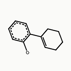 [O]c1ccccc1C1=CCCCC1